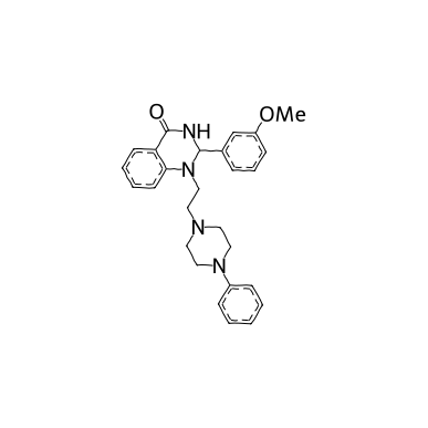 COc1cccc(C2NC(=O)c3ccccc3N2CCN2CCN(c3ccccc3)CC2)c1